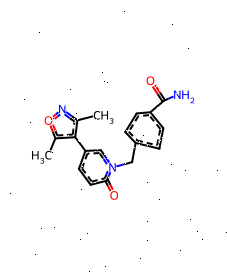 Cc1noc(C)c1-c1ccc(=O)n(Cc2ccc(C(N)=O)cc2)c1